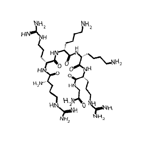 N=C(N)NCCC[C@H](N)C(=O)N[C@H](CCCNC(=N)N)C(=O)N[C@H](CCCCN)C(=O)N[C@H](CCCCN)C(=O)N[C@H](CCCNC(=N)N)C(=O)NCC(N)=O